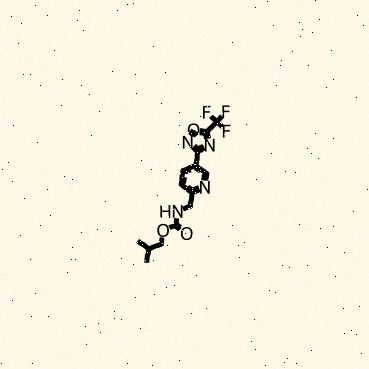 CC(C)COC(=O)NCc1ccc(-c2noc(C(F)(F)F)n2)cn1